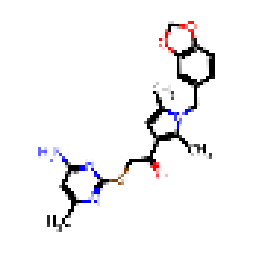 Cc1cc(N)nc(SCC(=O)c2cc(C)n(Cc3ccc4c(c3)OCO4)c2C)n1